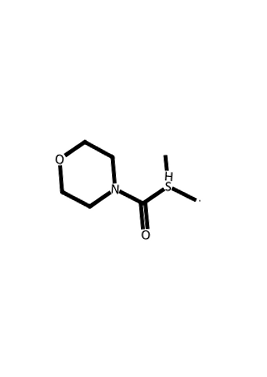 [CH2][SH](C)C(=O)N1CCOCC1